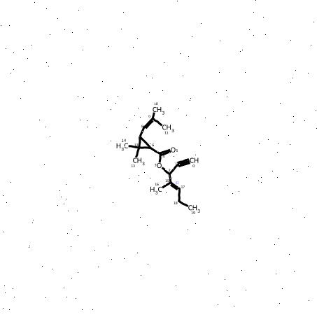 C#CC(OC(=O)C1C(C=C(C)C)C1(C)C)/C(C)=C/CC